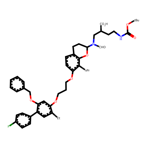 CCCc1c(OCCCOc2cc(OCc3ccccc3)c(-c3ccc(F)cc3)cc2CC)ccc2c1OC(N(C=O)CC(CCNC(=O)OC(C)(C)C)C(=O)O)CC2